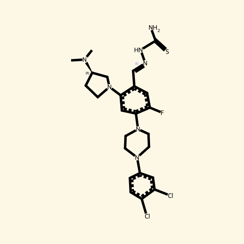 CN(C)[C@@H]1CCN(c2cc(N3CCN(c4ccc(Cl)c(Cl)c4)CC3)c(F)cc2/C=N/NC(N)=S)C1